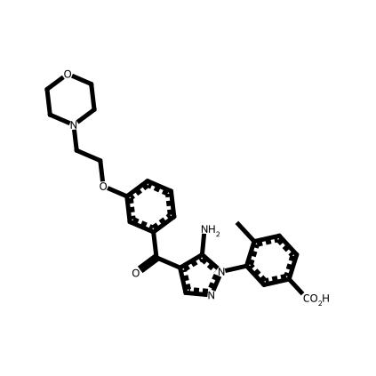 Cc1ccc(C(=O)O)cc1-n1ncc(C(=O)c2cccc(OCCN3CCOCC3)c2)c1N